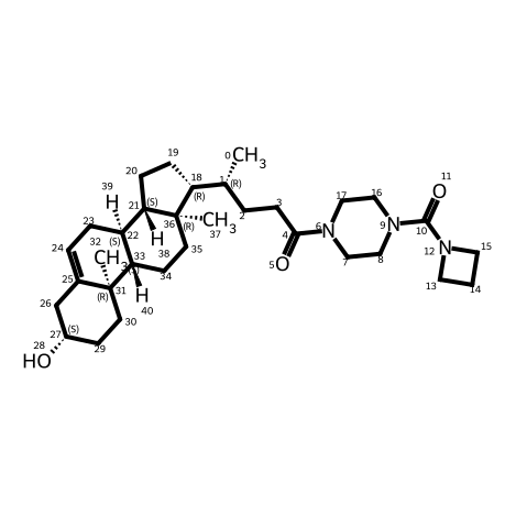 C[C@H](CCC(=O)N1CCN(C(=O)N2CCC2)CC1)[C@H]1CC[C@H]2[C@@H]3CC=C4C[C@@H](O)CC[C@]4(C)[C@H]3CC[C@]12C